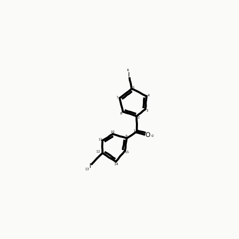 O=C(c1ccc(I)cc1)c1ccc(I)cc1